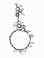 CC(=O)NC1[C@H](Oc2ccc(COC(=O)N[C@@H]3[C@H](O)[C@H](O[C@H]4/C=C/C=C/C=C/C=C/C=C/C=C/C=C/[C@H](C)[C@@H](O)[C@@H](C)[C@H](C)OC(=O)C[C@H](O)C[C@H](O)CC[C@@H](O)[C@H](O)C[C@H](O)C[C@]5(O)C[C@H](O)[C@@H](C(=O)O)[C@H](C4)O5)O[C@H](C)[C@H]3O)cc2[N+](=O)[O-])OC(CO)[C@@H](O)[C@@H]1O